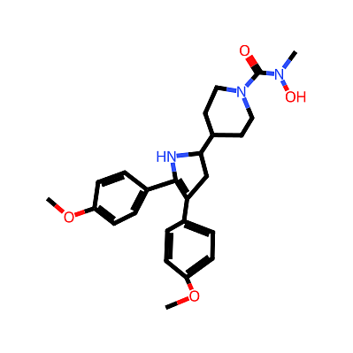 COc1ccc(C2=C(c3ccc(OC)cc3)NC(C3CCN(C(=O)N(C)O)CC3)C2)cc1